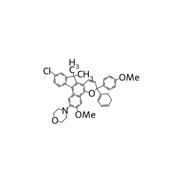 COc1ccc(C2(C3=CC=CCC3)C=Cc3c4c(c5cc(N6CCOCC6)c(OC)cc5c3O2)-c2ccc(Cl)cc2C4(C)C)cc1